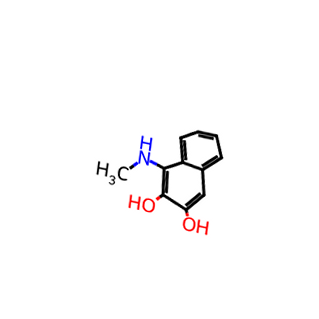 CNc1c(O)c(O)cc2ccccc12